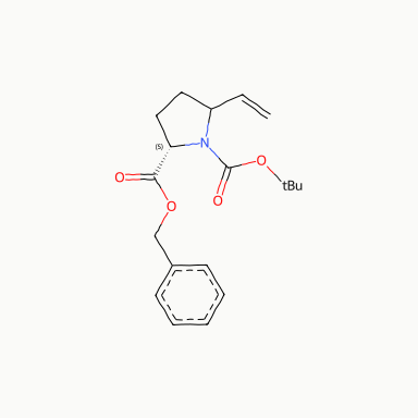 C=CC1CC[C@@H](C(=O)OCc2ccccc2)N1C(=O)OC(C)(C)C